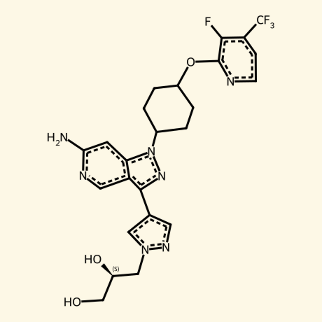 Nc1cc2c(cn1)c(-c1cnn(C[C@H](O)CO)c1)nn2C1CCC(Oc2nccc(C(F)(F)F)c2F)CC1